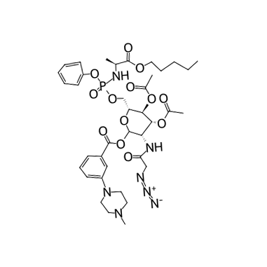 CCCCCOC(=O)[C@H](C)NP(=O)(OC[C@H]1OC(OC(=O)c2cccc(N3CCN(C)CC3)c2)[C@@H](NC(=O)CN=[N+]=[N-])[C@@H](OC(C)=O)[C@@H]1OC(C)=O)Oc1ccccc1